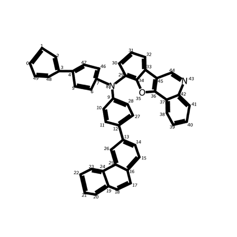 c1ccc(-c2ccc(N(c3ccc(-c4ccc5ccc6ccccc6c5c4)cc3)c3cccc4c3oc3c5ccccc5ncc43)cc2)cc1